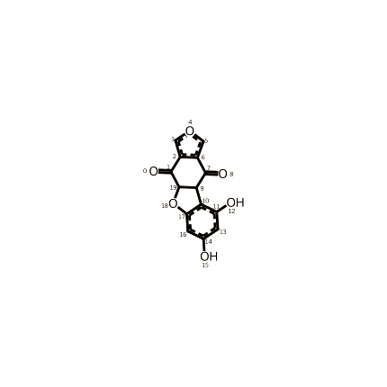 O=C1c2cocc2C(=O)C2c3c(O)cc(O)cc3OC12